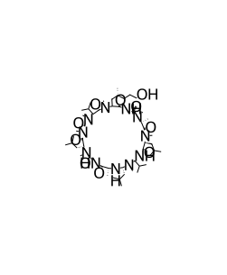 CC(C)C[C@@H]1C(=O)N(C)C(=O)N(C)C(C(C)C)C(=O)N(C)C(C[C@H](C)CCCO)C(=O)NC(=O)N(C)[C@H](C)C(=O)N(C)[C@@H](CC(C)C)C(=O)NC(C(C)C)N(C)[C@H](CC(C)C)N[C@H](C)C(=O)NC(=O)N1C